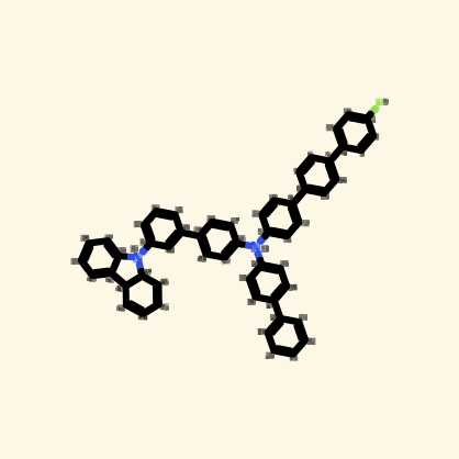 Fc1ccc(-c2ccc(-c3ccc(N(c4ccc(-c5ccccc5)cc4)c4ccc(-c5cccc(N6c7ccccc7C7C=CC=CC76)c5)cc4)cc3)cc2)cc1